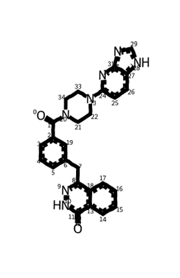 O=C(c1cccc(Cc2n[nH]c(=O)c3ccccc23)c1)N1CCN(c2ccc3[nH]cnc3n2)CC1